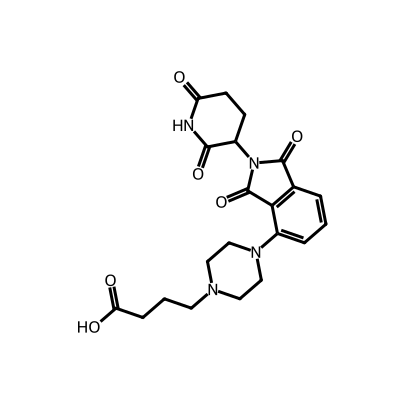 O=C(O)CCCN1CCN(c2cccc3c2C(=O)N(C2CCC(=O)NC2=O)C3=O)CC1